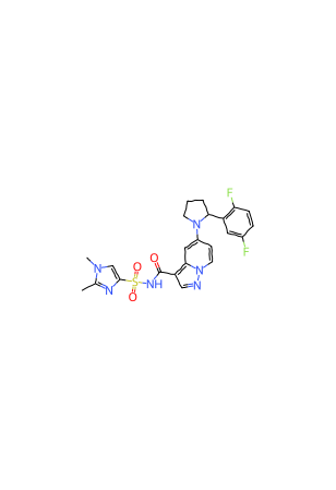 Cc1nc(S(=O)(=O)NC(=O)c2cnn3ccc(N4CCCC4c4cc(F)ccc4F)cc23)cn1C